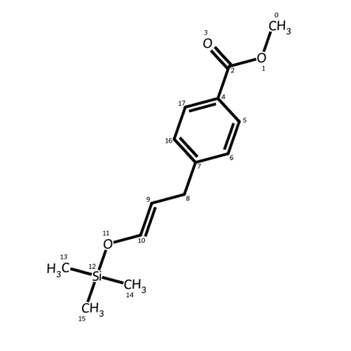 COC(=O)c1ccc(CC=CO[Si](C)(C)C)cc1